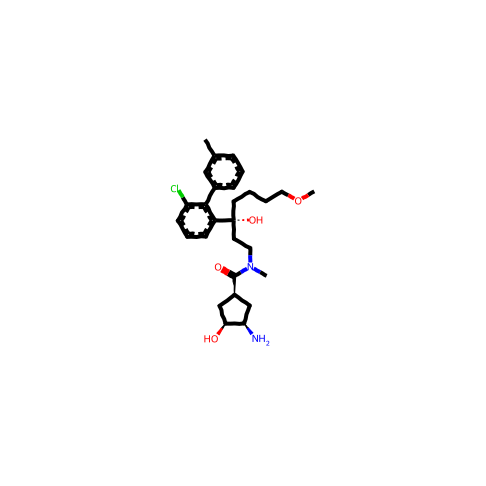 COCCCC[C@@](O)(CCN(C)C(=O)[C@H]1C[C@@H](N)[C@@H](O)C1)c1cccc(Cl)c1-c1cccc(C)c1